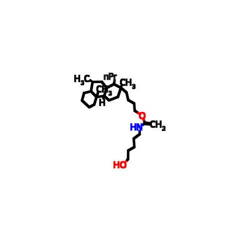 C=C(NCCCCCO)OCCCC[C@@]1(C)CC[C@H]2C(C[C@H](C)C3CCCCC32C)C1CCC